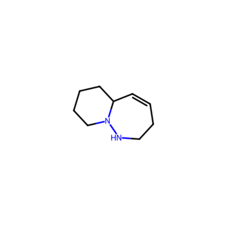 C1=CC2CCCCN2NCC1